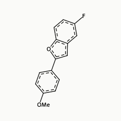 COc1ccc(-c2cc3cc(F)ccc3o2)cc1